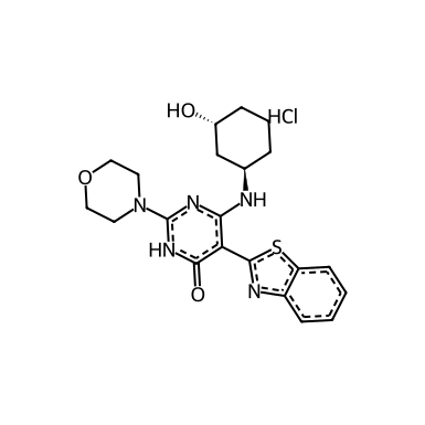 Cl.O=c1[nH]c(N2CCOCC2)nc(N[C@@H]2CCC[C@@H](O)C2)c1-c1nc2ccccc2s1